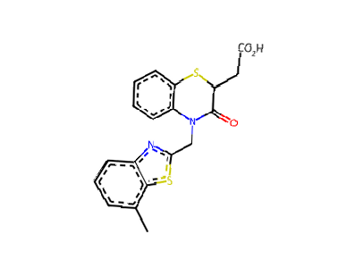 Cc1cccc2nc(CN3C(=O)C(CC(=O)O)Sc4ccccc43)sc12